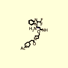 CC(=O)N1CCC(CC(=O)N2CC(COC(=N)/C=C(\N)n3c(C(F)F)nc4ccccc43)C2)CC1